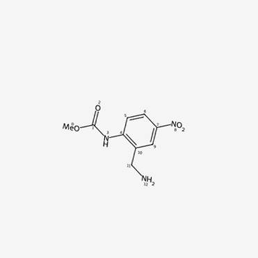 COC(=O)Nc1ccc([N+](=O)[O-])cc1CN